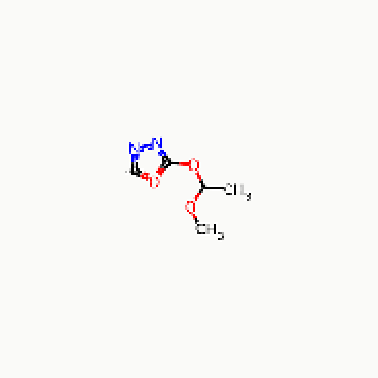 COC(C)Oc1nn[c]o1